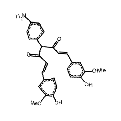 COc1cc(/C=C/C(=O)C(C(=O)/C=C/c2ccc(O)c(OC)c2)c2ccc(N)cc2)ccc1O